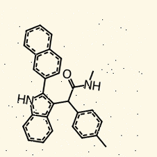 CNC(=O)C(c1ccc(C)cc1)c1c(-c2ccc3ccccc3c2)[nH]c2ccccc12